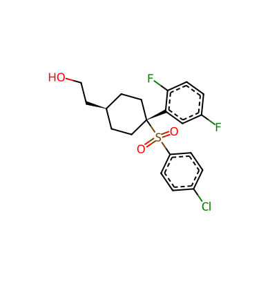 O=S(=O)(c1ccc(Cl)cc1)[C@]1(c2cc(F)ccc2F)CC[C@@H](CCO)CC1